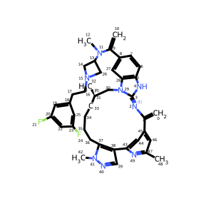 C=C1/N=C2\Nc3ccc(C(=C)N(C)C4CN(CCc5cc(F)cc(F)c5)C4)cc3N2C[C@H](C)CCCCc2c(cnn2C)-c2cc1cc(C)n2